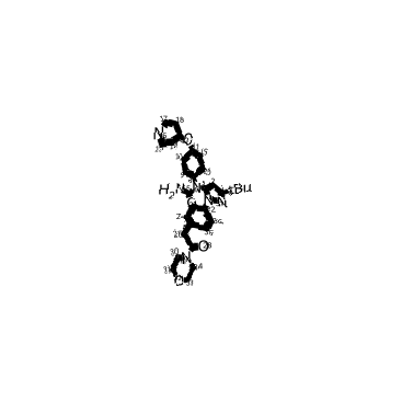 CC(C)(C)c1cc(N(C(N)=O)c2ccc(Oc3ccncc3)cc2)n(-c2ccc(CC(=O)N3CCOCC3)cc2)n1